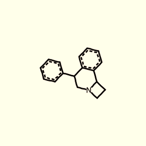 c1ccc(C2CN3CCC3c3ccccc32)cc1